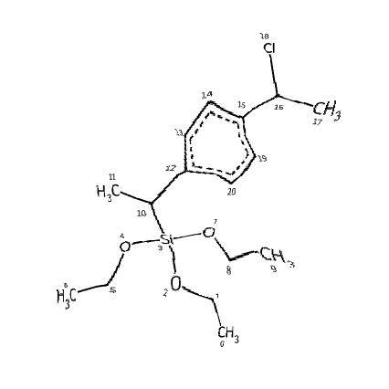 CCO[Si](OCC)(OCC)C(C)c1ccc(C(C)Cl)cc1